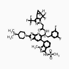 CN(C)C1CCN(c2nc3nc([C@H](Cc4cc(F)cc(F)c4)NC(=O)Cn4nc(C(F)(F)F)c5c4C(F)(F)[C@@H]4CC54)c(-c4cccc5c(NS(C)(=O)=O)nn(C)c45)cc3s2)CC1